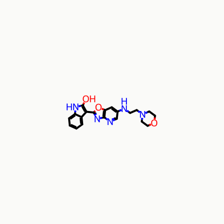 Oc1[nH]c2ccccc2c1-c1nc2ncc(NCCN3CCOCC3)cc2o1